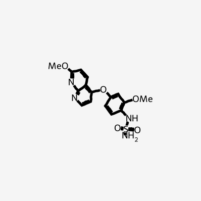 COc1ccc2c(Oc3ccc(NS(N)(=O)=O)c(OC)c3)ccnc2n1